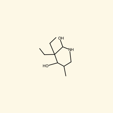 CCC1(CC)C(O)NCC(C)C1O